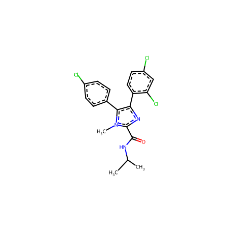 CC(C)NC(=O)c1nc(-c2ccc(Cl)cc2Cl)c(-c2ccc(Cl)cc2)n1C